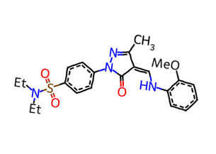 CCN(CC)S(=O)(=O)c1ccc(N2N=C(C)C(=CNc3ccccc3OC)C2=O)cc1